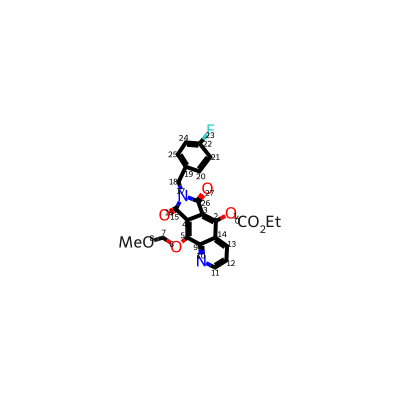 CCOC(=O)Oc1c2c(c(OCOC)c3ncccc13)C(=O)N(Cc1ccc(F)cc1)C2=O